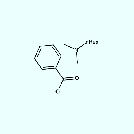 CCCCCCN(C)C.[O]C(=O)c1ccccc1